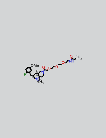 C=CC(=O)NCCOCCOCCOCC(=O)N1CC[C@H]2[C@@H](C[C@H](Cc3cc(OC)ccc3F)CN2C)C1